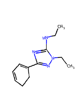 CCNc1nc(C2=CC=CCC2)nn1CC